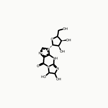 O=C1c2ncn([C@@H]3OC(CO)[C@@H](O)[C@H]3O)c2NC2=NC(O)C(O)N12